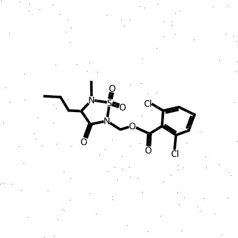 CCCC1C(=O)N(COC(=O)c2c(Cl)cccc2Cl)S(=O)(=O)N1C